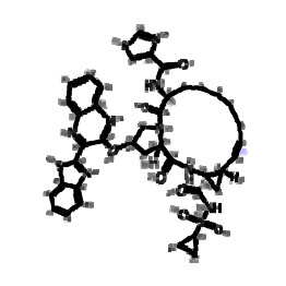 O=C(N[C@H]1CCCCC/C=C\[C@@H]2C[C@@]2(C(=O)NS(=O)(=O)C2CC2)NC(=O)[C@@H]2C[C@@H](Oc3nc4ccccc4nc3-c3nc4ccccc4s3)CN2C1=O)c1cscn1